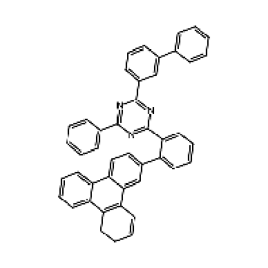 C1=Cc2c(c3ccccc3c3ccc(-c4ccccc4-c4nc(-c5ccccc5)nc(-c5cccc(-c6ccccc6)c5)n4)cc23)CC1